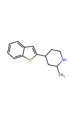 CC1CC(c2cc3ccccc3s2)CCN1